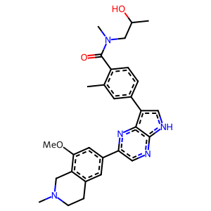 COc1cc(-c2cnc3[nH]cc(-c4ccc(C(=O)N(C)CC(C)O)c(C)c4)c3n2)cc2c1CN(C)CC2